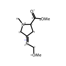 COC/N=C1\CC(C(=O)OC)N(C)C1